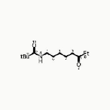 CCC(=O)CCCCCNC(=O)C(C)(C)C